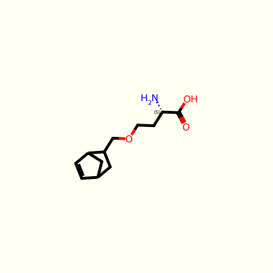 N[C@@H](CCOCC1CC2C=CC1C2)C(=O)O